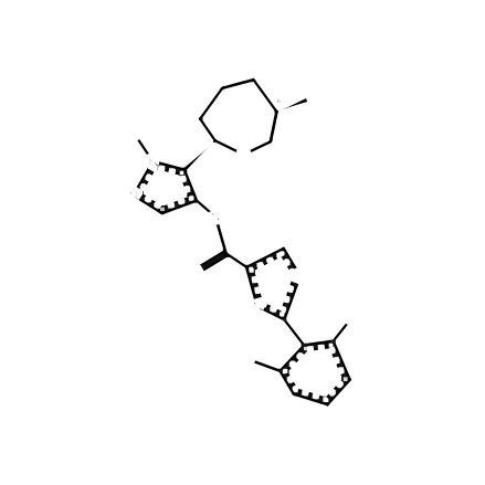 Cn1ncc(NC(=O)c2csc(-c3c(F)cccc3F)n2)c1[C@H]1CCC[C@@H](F)CO1